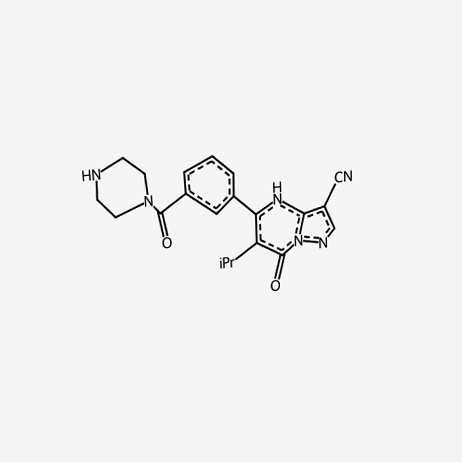 CC(C)c1c(-c2cccc(C(=O)N3CCNCC3)c2)[nH]c2c(C#N)cnn2c1=O